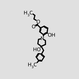 CCCOC(=O)c1ccc(O)c(N2CCC(O)(Cc3ccc(C)cc3)CC2)c1